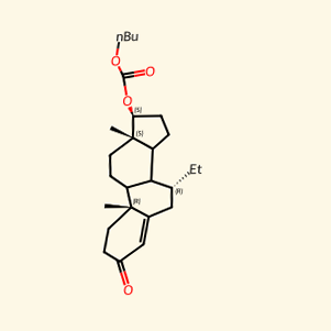 CCCCOC(=O)O[C@H]1CCC2C3C(CC[C@@]21C)[C@@]1(C)CCC(=O)C=C1C[C@H]3CC